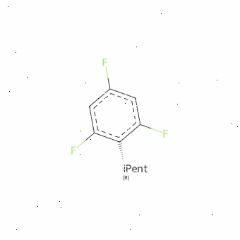 CCC[C@@H](C)c1c(F)cc(F)cc1F